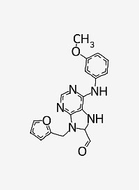 COc1cccc(Nc2ncnc3c2NC(C=O)N3Cc2ccco2)c1